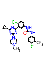 CN1CCN(c2nc(-c3cc(NC(=O)Nc4ccc(Cl)c(C(F)(F)F)c4)ccc3Cl)nc(C3CC3)n2)CC1